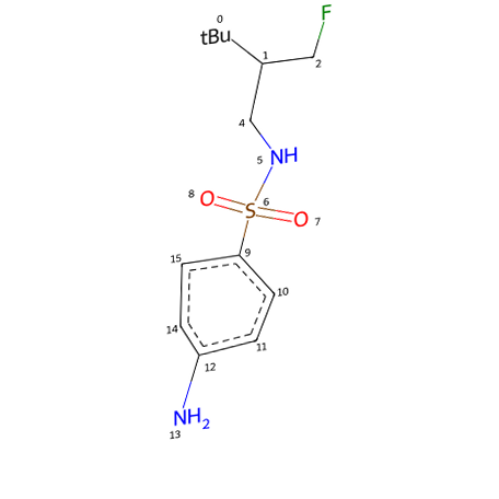 CC(C)(C)C(CF)CNS(=O)(=O)c1ccc(N)cc1